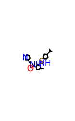 Cc1ccc(C(=O)NCc2cccnc2)cc1NSc1ccc(C2CC2)cc1